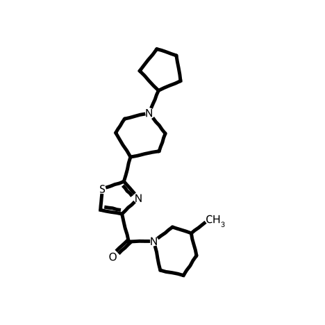 CC1CCCN(C(=O)c2csc(C3CCN(C4CCCC4)CC3)n2)C1